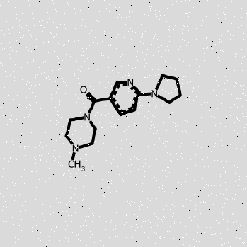 CN1CCN(C(=O)c2ccc(N3CCCC3)nc2)CC1